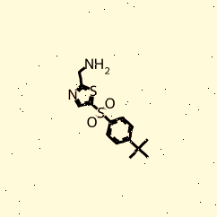 CC(C)(C)c1ccc(S(=O)(=O)c2cnc(CN)s2)cc1